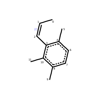 C/C=C\c1c(C)ccc(C)c1C